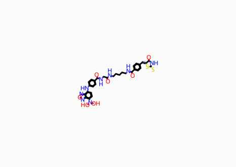 O=C(CNC(=O)c1ccc(Nc2ccc(N(O)O)c3nonc23)cc1)NCCCCCNC(=O)c1ccc(/C=C2\SC(=S)NC2=O)cc1